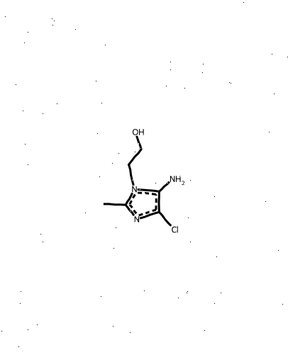 Cc1nc(Cl)c(N)n1CCO